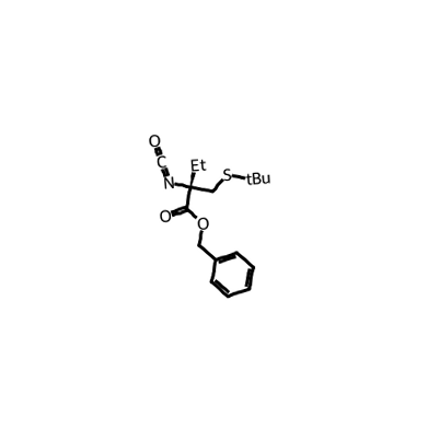 CC[C@](CSC(C)(C)C)(N=C=O)C(=O)OCc1ccccc1